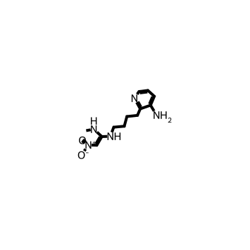 CNC(=C[N+](=O)[O-])NCCCCc1ncccc1N